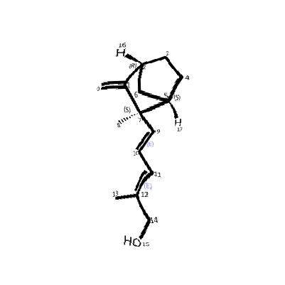 C=C1[C@@H]2CC[C@@H](C2)[C@@]1(C)/C=C/C=C(\C)CO